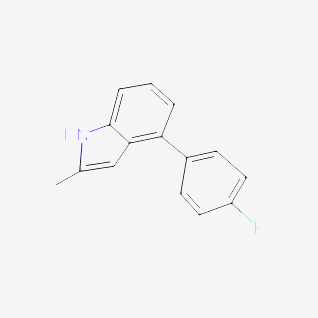 Cc1cc2c(-c3ccc(F)cc3)cccc2[nH]1